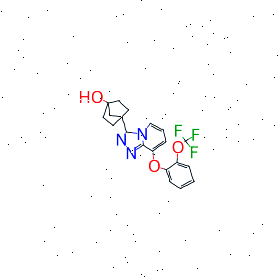 OC12CCC(c3nnc4c(Oc5ccccc5OC(F)(F)F)cccn34)(CC1)C2